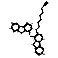 C#CCCCCCCCc1ccc2c([c]1[Ti][c]1cccc3c1Cc1ccccc1-3)Cc1ccccc1-2